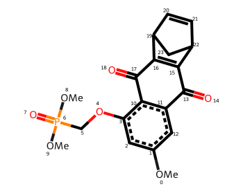 COc1cc(OCP(=O)(OC)OC)c2c(c1)C(=O)C1=C(C2=O)C2C=CC1C2